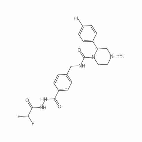 CCN1CCN(C(=O)NCc2ccc(C(=O)NNC(=O)C(F)F)cc2)C(c2ccc(Cl)cc2)C1